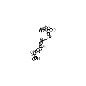 CC[C@@]1(O)C(=O)OCc2c1cc1n(c2=O)Cc2cc3c(CN4CCN(C(=O)CCCCCN(C)c5ccc([C@H]6C[C@@]7(C)[C@@H](CC[C@]7(OC(C)=O)C(C)=O)C7CCC8=CC(=O)CCC8=C76)cc5)CC4)c(O)ccc3nc2-1